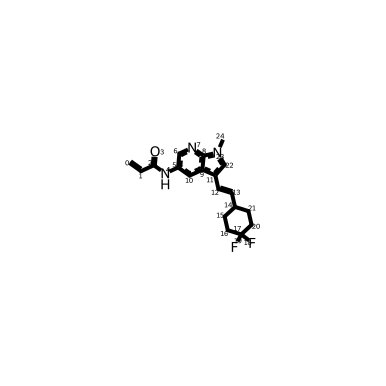 C=CC(=O)Nc1cnc2c(c1)c(C=CC1CCC(F)(F)CC1)cn2C